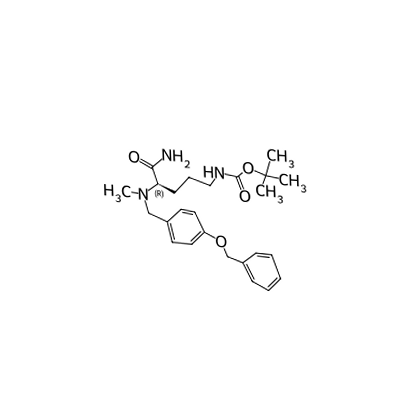 CN(Cc1ccc(OCc2ccccc2)cc1)[C@H](CCCNC(=O)OC(C)(C)C)C(N)=O